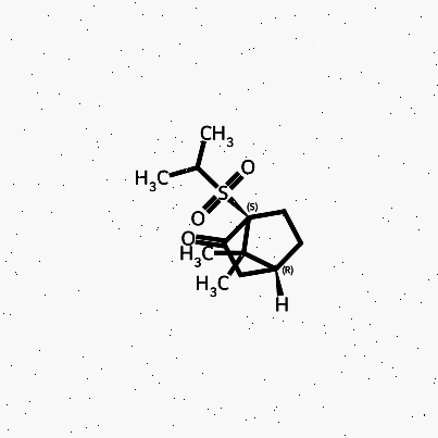 CC(C)S(=O)(=O)[C@]12CC[C@H](CC1=O)C2(C)C